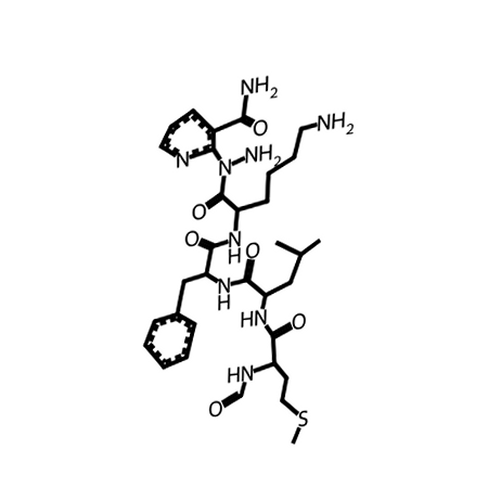 CSCCC(NC=O)C(=O)NC(CC(C)C)C(=O)NC(Cc1ccccc1)C(=O)NC(CCCCN)C(=O)N(N)c1ncccc1C(N)=O